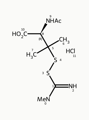 CNC(=N)SSC(C)(C)[C@H](NC(C)=O)C(=O)O.Cl